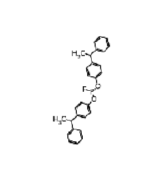 CC(c1ccccc1)c1ccc(OP(F)Oc2ccc(C(C)c3ccccc3)cc2)cc1